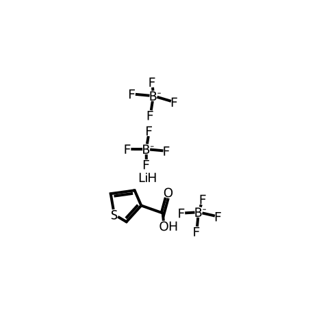 F[B-](F)(F)F.F[B-](F)(F)F.F[B-](F)(F)F.O=C(O)c1ccsc1.[LiH]